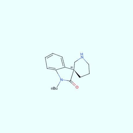 CCCCN1C(=O)[C@]2(CCCNC2)c2ccccc21